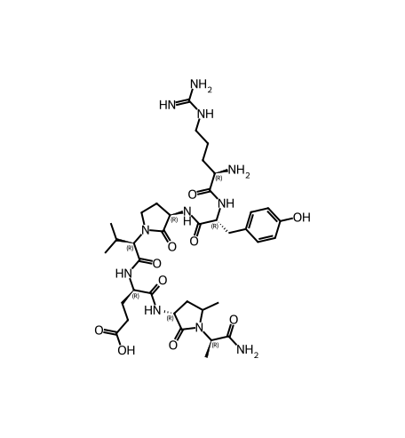 CC(C)[C@H](C(=O)N[C@H](CCC(=O)O)C(=O)N[C@@H]1CC(C)N([C@H](C)C(N)=O)C1=O)N1CC[C@@H](NC(=O)[C@@H](Cc2ccc(O)cc2)NC(=O)[C@H](N)CCCNC(=N)N)C1=O